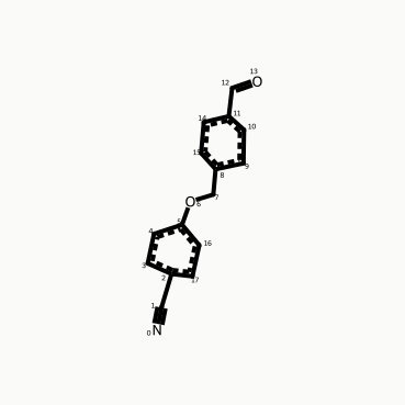 N#Cc1ccc(OCc2ccc(C=O)cc2)cc1